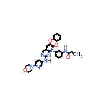 C=CC(=O)Nc1cccc(-n2c(=O)c(Oc3ccccc3)cc3cnc(Nc4ccc(N5CCOCC5)nc4)nc32)c1